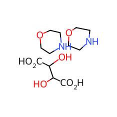 C1COCCN1.C1COCCN1.O=C(O)C(O)C(O)C(=O)O